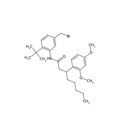 CCCCCC(CC(=O)Nc1cc(CBr)ccc1C(C)(C)C)c1ccc(OC)cc1OC